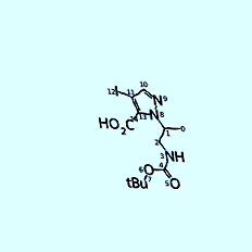 CC(CNC(=O)OC(C)(C)C)n1ncc(I)c1C(=O)O